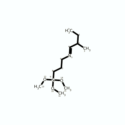 CCC(C)C=NCCC[Si](OC)(OC)OC